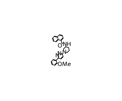 COc1ccccc1-c1ccc(N2CCCC(NC(=O)c3cccc4ccccc34)C2)nn1